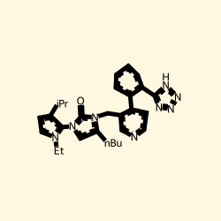 CCCCc1cn(-c2c(C(C)C)ccn2CC)c(=O)n1Cc1cnccc1-c1ccccc1-c1nnn[nH]1